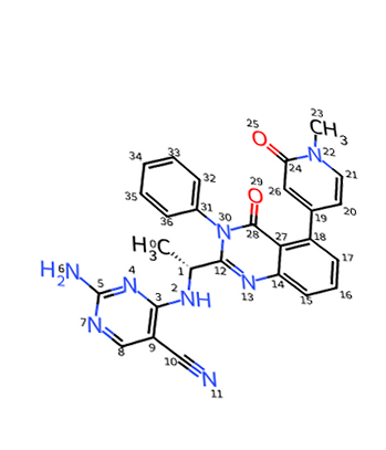 C[C@@H](Nc1nc(N)ncc1C#N)c1nc2cccc(-c3ccn(C)c(=O)c3)c2c(=O)n1-c1ccccc1